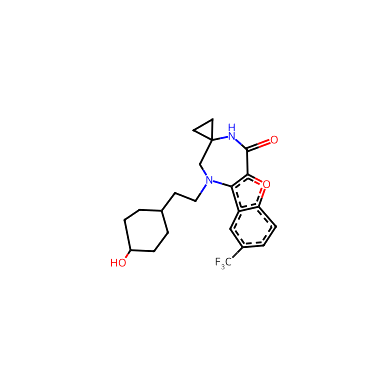 O=C1NC2(CC2)CN(CCC2CCC(O)CC2)c2c1oc1ccc(C(F)(F)F)cc21